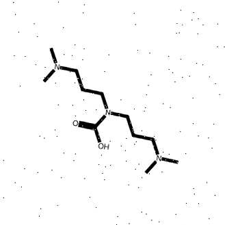 CN(C)CCCN(CCCN(C)C)C(=O)O